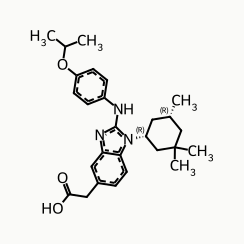 CC(C)Oc1ccc(Nc2nc3cc(CC(=O)O)ccc3n2[C@@H]2C[C@H](C)CC(C)(C)C2)cc1